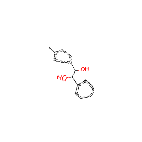 Cc1ccc(C(O)C(O)c2ccccc2)cc1